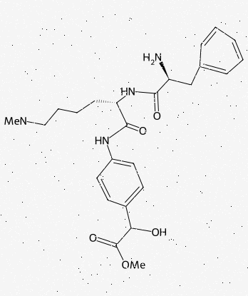 CNCCCC[C@H](NC(=O)[C@@H](N)Cc1ccccc1)C(=O)Nc1ccc(C(O)C(=O)OC)cc1